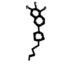 C/C=C/CCc1ccc(-c2ccc3c(F)c(F)c(F)cc3c2)cc1